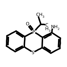 CC(C)P1(=O)c2ccccc2Sc2cccc(N)c21